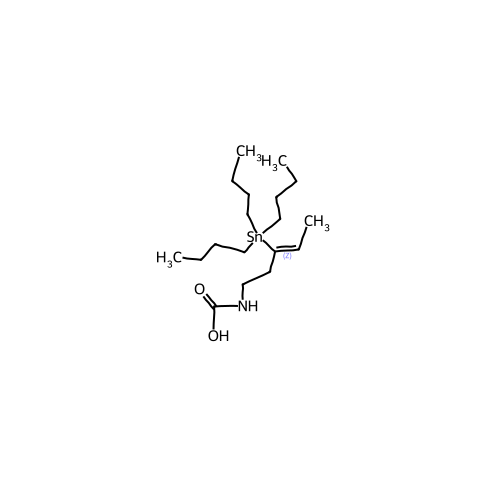 C/C=[C](/CCNC(=O)O)[Sn]([CH2]CCC)([CH2]CCC)[CH2]CCC